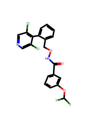 O=C(NOCc1ccccc1-c1c(Cl)cncc1Cl)c1cccc(OC(F)F)c1